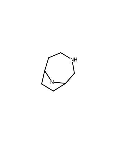 C1CC2CCC(CN1)[N]2